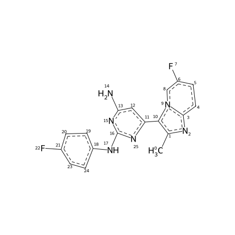 Cc1nc2ccc(F)cn2c1-c1cc(N)nc(Nc2ccc(F)cc2)n1